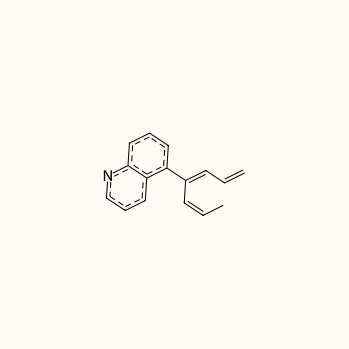 C=C/C=C(\C=C/C)c1cccc2ncccc12